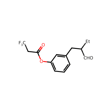 CCC(C=O)Cc1cccc(OC(=O)CC(F)(F)F)c1